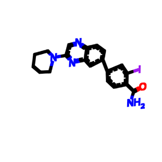 NC(=O)c1ccc(-c2ccc3ncc(N4CCCCC4)nc3c2)cc1I